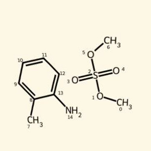 COS(=O)(=O)OC.Cc1ccccc1N